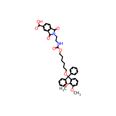 COc1cccc(C(OCCCCCCOC(=O)NCCN2C(=O)c3ccc(C(=O)O)cc3C2=O)(c2ccccc2)c2ccccc2)c1OC